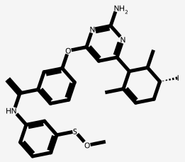 C=C(Nc1cccc(SOC)c1)c1cccc(Oc2cc(C3C(C)=CC[C@@H](I)C3C)nc(N)n2)c1